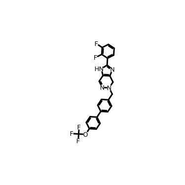 Fc1cccc(-c2nc3c([nH]2)C=NN(Cc2ccc(-c4ccc(OC(F)(F)F)cc4)cc2)C3)c1F